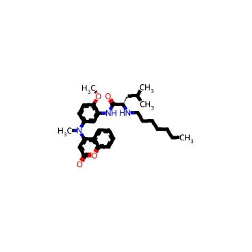 CCCCCCCN[C@@H](CC(C)C)C(=O)Nc1cc(N(C)c2cc(=O)oc3ccccc23)ccc1OC